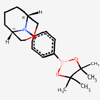 CC1(C)OB(c2ccc(N3[C@@H]4CCC[C@H]3COC4)cc2)OC1(C)C